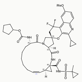 COc1ccc2nc(C3CC3)c3c(c2c1)C(F)(F)C[C@]1(C[C@H]2C(=O)N[C@]4(C(=O)NS(=O)(=O)C5(C)CC5)C[C@H]4/C=C\CCCCC[C@H](NC(=O)OC4CCCC4)C(=O)N2C1)O3